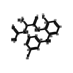 CC(NC(=O)O)C(=O)Nc1c(F)cccc1Nc1cncc(F)c1